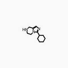 c1nc(C2CCCCC2)n2c1CNCC2